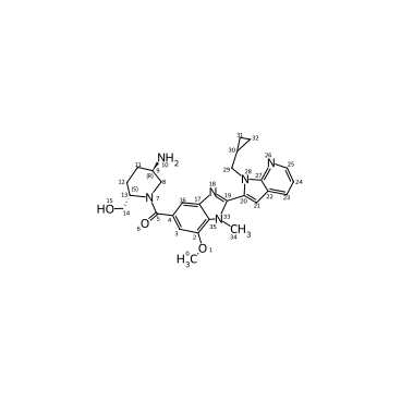 COc1cc(C(=O)N2C[C@H](N)CC[C@H]2CO)cc2nc(-c3cc4cccnc4n3CC3CC3)n(C)c12